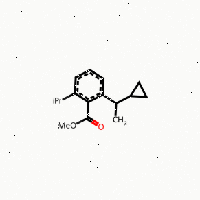 COC(=O)c1c(C(C)C)cccc1C(C)C1CC1